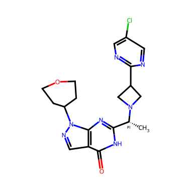 C[C@H](c1nc2c(cnn2C2CCOCC2)c(=O)[nH]1)N1CC(c2ncc(Cl)cn2)C1